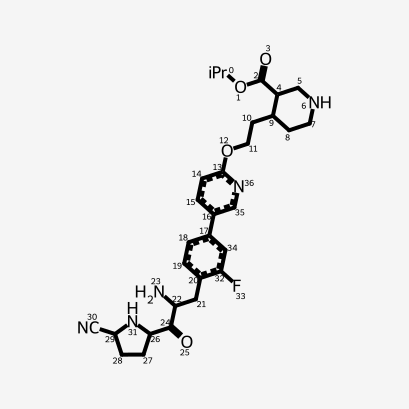 CC(C)OC(=O)C1CNCCC1CCOc1ccc(-c2ccc(CC(N)C(=O)C3CCC(C#N)N3)c(F)c2)cn1